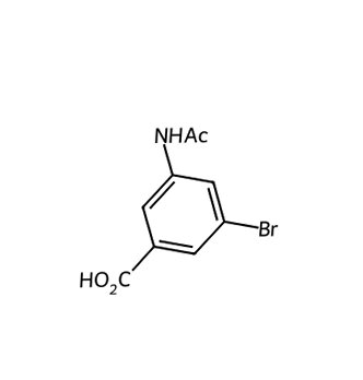 CC(=O)Nc1cc(Br)cc(C(=O)O)c1